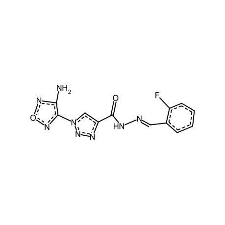 Nc1nonc1-n1cc(C(=O)N/N=C/c2ccccc2F)nn1